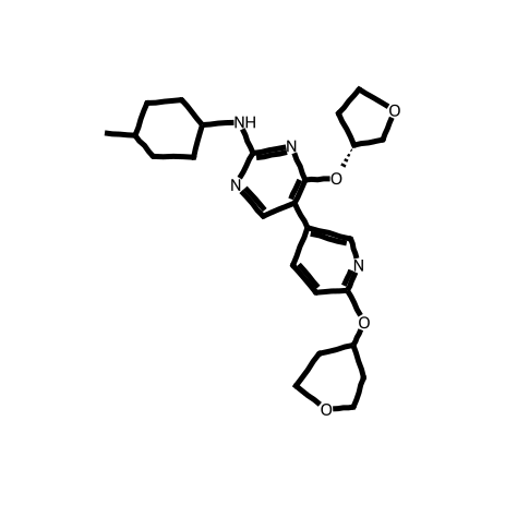 CC1CCC(Nc2ncc(-c3ccc(OC4CCOCC4)nc3)c(O[C@@H]3CCOC3)n2)CC1